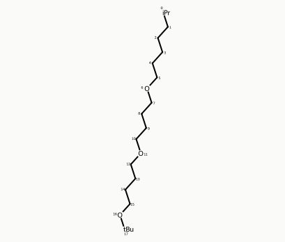 CC(C)CCCCCOCCCCOCCCCOC(C)(C)C